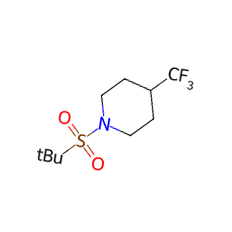 CC(C)(C)S(=O)(=O)N1CCC(C(F)(F)F)CC1